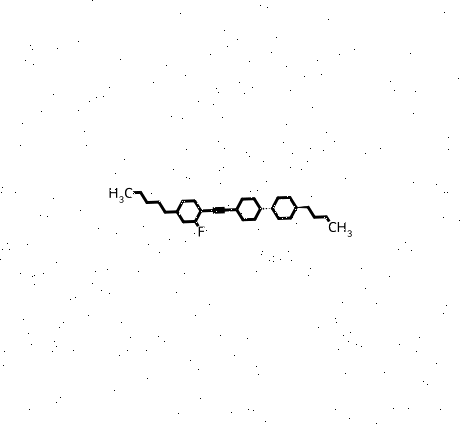 CCCCCC1CCC(C#CC2CCC([C@H]3CC[C@H](CCCC)CC3)CC2)C(F)C1